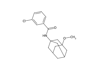 COC12CC3CC(CC(NC(=O)c4cccc(Cl)c4)(C3)C1)C2